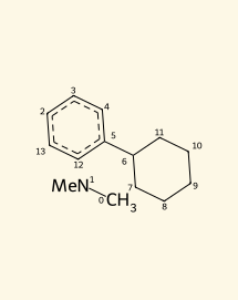 CNC.c1ccc(C2CCCCC2)cc1